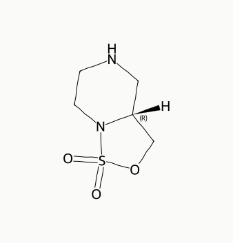 O=S1(=O)OC[C@H]2CNCCN21